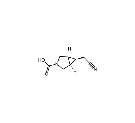 N#CC[C@H]1[C@H]2CN(C(=O)O)C[C@@H]12